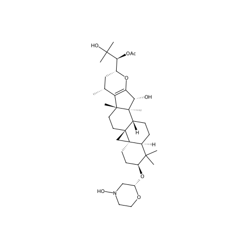 CC(=O)O[C@@H]([C@H]1C[C@@H](C)C2=C(O1)[C@H](O)[C@@]1(C)[C@@H]3CC[C@H]4C(C)(C)[C@@H](O[C@H]5CN(O)CCO5)CC[C@@]45C[C@@]35CC[C@]21C)C(C)(C)O